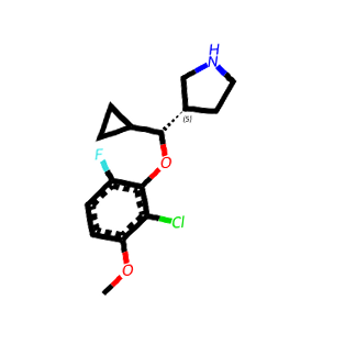 COc1ccc(F)c(OC(C2CC2)[C@H]2CCNC2)c1Cl